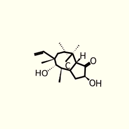 C=C[C@]1(C)CC[C@]2(C)[C@H](C)CC[C@]3(C[C@H](O)C(=O)[C@@H]23)[C@@H](C)[C@@H]1O